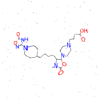 CN1C(=O)OC(N2CCN(CCCC(=O)O)CC2)C1CCCCC1CCN(c2noc(=O)[nH]2)CC1